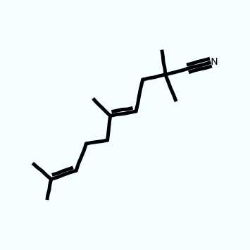 CC(C)=CCC/C(C)=C/CC(C)(C)C#N